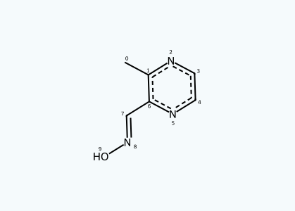 Cc1nccnc1/C=N/O